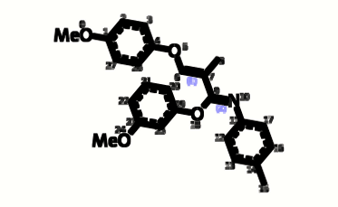 COc1ccc(O/C=C(C)/C(=N/c2ccc(C)cc2)Oc2cccc(OC)c2)cc1